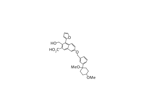 COC1CCC(OC)(c2cccc(COc3ccc4c(-c5ccco5)c(CO)c(C(=O)O)cc4c3)c2)CC1